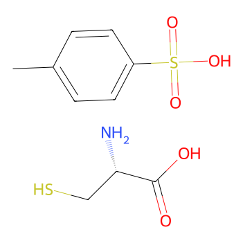 Cc1ccc(S(=O)(=O)O)cc1.N[C@@H](CS)C(=O)O